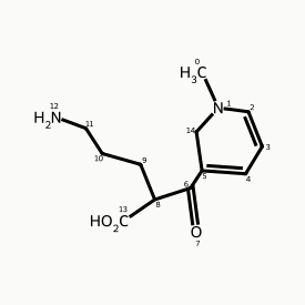 CN1C=CC=C(C(=O)C(CCCN)C(=O)O)C1